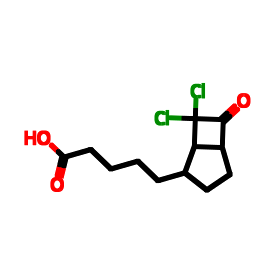 O=C(O)CCCCC1CCC2C(=O)C(Cl)(Cl)C12